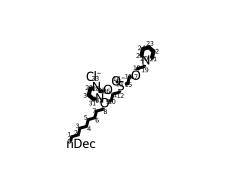 CCCCCCCCCCCCCCCCCCOCC(C[S+]([O-])CCOCC[n+]1ccccc1)Oc1ncccn1.[Cl-]